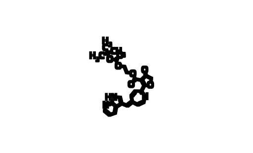 CC(C)(C)OC(=O)OCCOC(=O)C1=C(C2=NC=CC(=Cc3c[nH]c4ncccc34)C=C2)OCC1=O